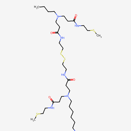 CCCCN(CCC(=O)NCCSC)CCC(=O)NCCSSCCNC(=O)CCN(CCCCCCN)CCC(=O)NCCSC